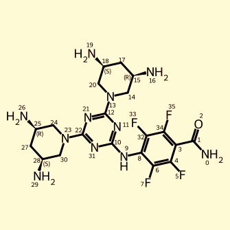 NC(=O)c1c(F)c(F)c(Nc2nc(N3C[C@H](N)C[C@H](N)C3)nc(N3C[C@H](N)C[C@H](N)C3)n2)c(F)c1F